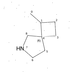 CC1CC[C@@]12CCNC2